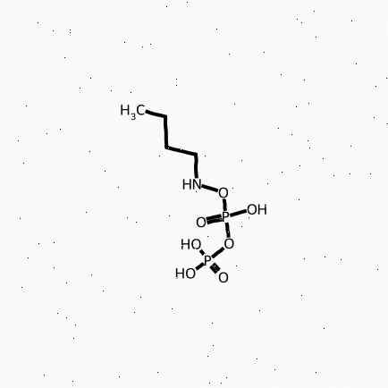 CCCCNOP(=O)(O)OP(=O)(O)O